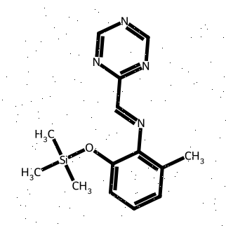 Cc1cccc(O[Si](C)(C)C)c1/N=C/c1ncncn1